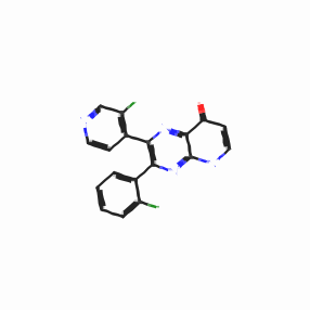 O=c1cc[nH]c2nc(-c3ccccc3F)c(-c3ccncc3F)nc12